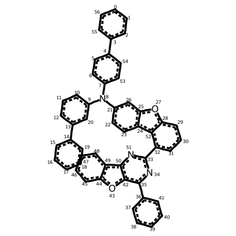 c1ccc(-c2ccc(N(c3cccc(-c4ccccc4)c3)c3ccc4c(c3)oc3cccc(-c5nc(-c6ccccc6)c6oc7ccccc7c6n5)c34)cc2)cc1